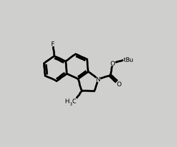 CC1CN(C(=O)OC(C)(C)C)c2ccc3c(F)cccc3c21